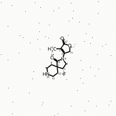 CC1=C(N2C[C@H](F)C3(CCNCC3)C2=O)COC1=O